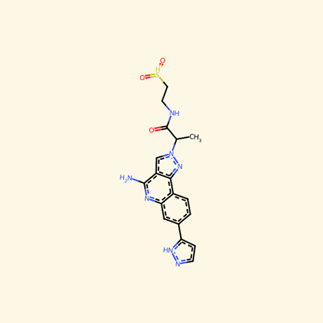 CC(C(=O)NCC[SH](=O)=O)n1cc2c(N)nc3cc(-c4ccn[nH]4)ccc3c2n1